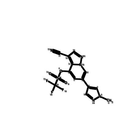 Cn1cc(-c2cc(OS(=O)(=O)C(F)(F)F)c3c(C#N)cnn3c2)cn1